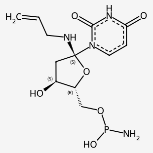 C=CCN[C@]1(n2ccc(=O)[nH]c2=O)C[C@H](O)[C@@H](COP(N)O)O1